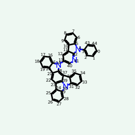 c1ccc(-n2c3ccccc3c3cc(-n4c5ccccc5c5cc6c7ccccc7n7c8ccccc8c(c54)c67)cnc32)cc1